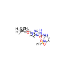 CCCS(=O)(=O)N1CCCCC(NC(=O)Nc2cnc3c(ccn3COCC[Si](C)(C)C)n2)C1